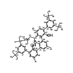 Cc1cc(-c2cc(C(C)(C)C)cc(C(C)(C)C)c2)c(O)c(-c2cc(C)cc(-c3cc(C)cc(-c4cc(C(C)(C)C)cc(C(C)(C)C)c4)c3O)c2OCCN(C)C)c1